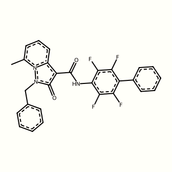 Cc1cccc2c(C(=O)Nc3c(F)c(F)c(-c4ccccc4)c(F)c3F)c(=O)n(Cc3ccccc3)n12